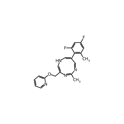 Cc1ncc(-c2c(C)cc(F)cc2F)c[nH]cc(COc2ccccn2)n1